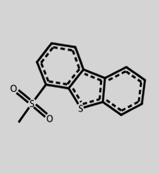 CS(=O)(=O)c1cccc2c1sc1ccccc12